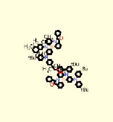 Cc1cc2c3c(c1)-n1c4c(cccc4c4oc5ccccc5c41)B3c1ccc(N(c3ccc(C(C)(C)C)cc3)c3ccc(C(C)(C)Cc4ccc(-c5cc(C(C)(C)C)ccc5N5c6cc(N(c7ccc(C(C)(C)C)cc7)c7ccc(C(C)(C)C)cc7)ccc6B6c7c5cc(C)cc7-n5c7c6cccc7c6oc7ccccc7c65)cc4)cc3)cc1N2c1cc2c(cc1C)C(C)(C)CCC2(C)C